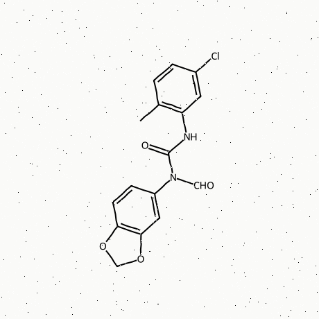 Cc1ccc(Cl)cc1NC(=O)N(C=O)c1ccc2c(c1)OCO2